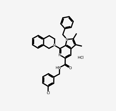 Cc1c(C)n(Cc2ccccc2)c2c(N3CCc4ccccc4C3)nc(C(=O)NCc3cccc(Cl)c3)cc12.Cl